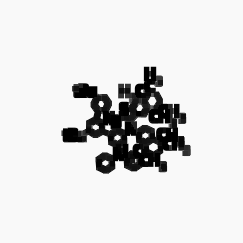 CC(C)(C)c1ccc2c(c1)c1cc(C(C)(C)C)cc3c1n2B1c2sc4cc5c(cc4c2N(c2ccc4c(c2)C(C)(C)CCC4(C)C)c2cc(N(c4ccccc4)c4ccccc4)cc-3c21)C(C)(C)CCC5(C)C